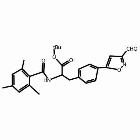 Cc1cc(C)c(C(=O)NC(Cc2ccc(-c3cc(C=O)no3)cc2)C(=O)OC(C)(C)C)c(C)c1